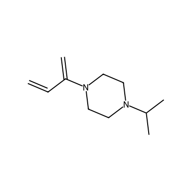 C=CC(=C)N1CCN(C(C)C)CC1